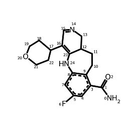 NC(=O)c1cc(F)cc2c1CCC1CN=CC(C3CCOCC3)=C1N2